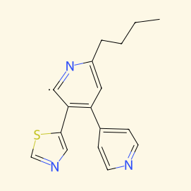 CCCCc1cc(-c2ccncc2)c(-c2cncs2)[c]n1